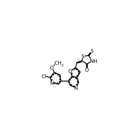 COc1cc(-c2cncc3cc(/C=C4/SC(=S)NC4=O)oc23)cnc1Cl